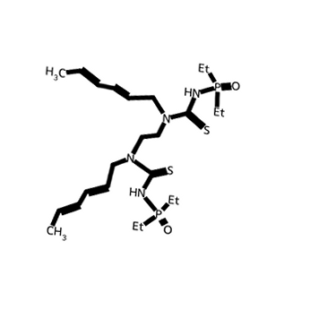 CC=CC=CCN(CCN(CC=CC=CC)C(=S)NP(=O)(CC)CC)C(=S)NP(=O)(CC)CC